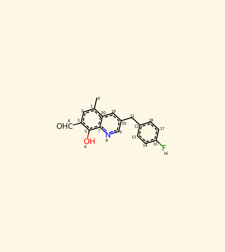 Cc1cc(C=O)c(O)c2ncc(Cc3ccc(F)cc3)cc12